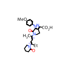 CC/C(=C\C=C(/C)N1CCc2c(C(=O)O)nn(-c3ccc(OC)cc3)c2C1=O)N1CCCCC1=O